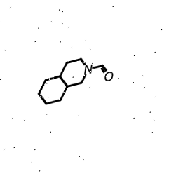 O=CN1CCC2CCCCC2C1